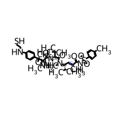 CN[C@H](C(=O)N[C@H](C(=O)N(C)[C@H](/C=C(\C)C(=O)NS(=O)(=O)c1ccc(C)cc1)C(C)C)C(C)(C)C)C(C)(C)c1ccc(NCCS)cc1